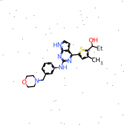 CCC(O)c1sc(-c2nc(Nc3cccc(CN4CCOCC4)c3)nc3[nH]ccc23)cc1C